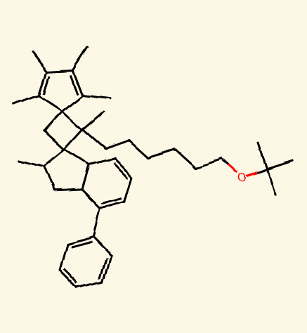 CC1=C(C)C2(CC3(C(C)CC4C(c5ccccc5)=CC=CC43)C2(C)CCCCCCOC(C)(C)C)C(C)=C1C